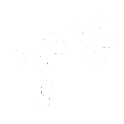 c1ccc(-c2cc(-c3ccc4ccccc4c3)nc(-c3ccc(-c4cccc5c4-c4ccc6ccccc6c4C5(c4ccccc4)c4ccccc4)c4ccccc34)n2)cc1